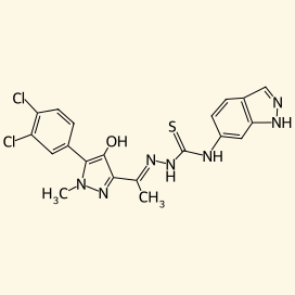 C/C(=N\NC(=S)Nc1ccc2cn[nH]c2c1)c1nn(C)c(-c2ccc(Cl)c(Cl)c2)c1O